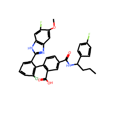 CCCC(NC(=O)c1ccc(-c2c(Cl)cccc2-c2nc3cc(OC)c(F)cc3[nH]2)c(C(=O)O)c1)c1ccc(F)cc1